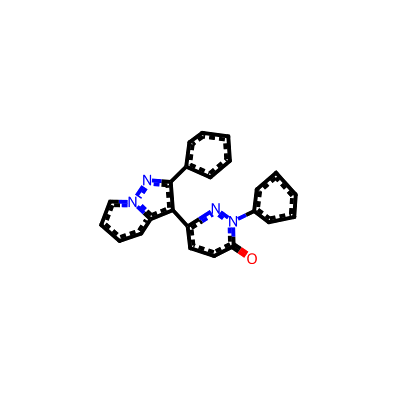 O=c1ccc(-c2c(-c3ccccc3)nn3ccccc23)nn1-c1ccccc1